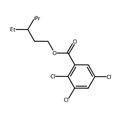 CCC(CCOC(=O)c1[c]c(Cl)cc(Cl)c1Cl)C(C)C